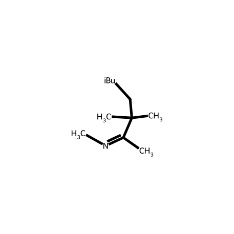 CCC(C)CC(C)(C)/C(C)=N\C